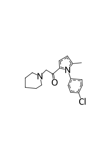 Cc1ccc(C(=O)CN2CCCCC2)n1-c1ccc(Cl)cc1